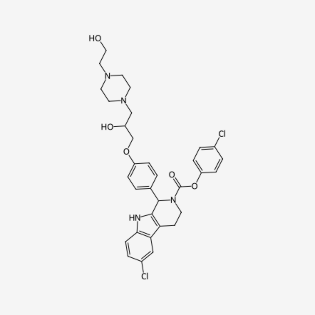 O=C(Oc1ccc(Cl)cc1)N1CCc2c([nH]c3ccc(Cl)cc23)C1c1ccc(OCC(O)CN2CCN(CCO)CC2)cc1